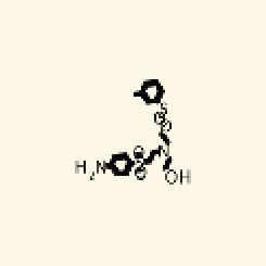 Cc1cccc(SOOCCN(CCO)CCS(=O)(=O)c2ccc(N)cc2)c1